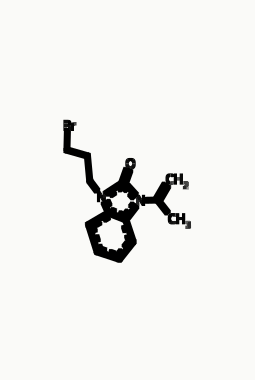 C=C(C)n1c(=O)n(CCCBr)c2ccccc21